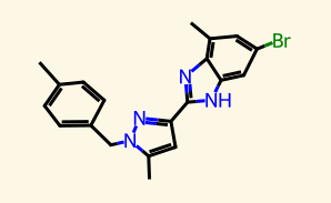 Cc1ccc(Cn2nc(-c3nc4c(C)cc(Br)cc4[nH]3)cc2C)cc1